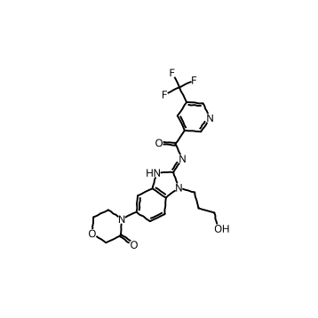 O=C(/N=c1\[nH]c2cc(N3CCOCC3=O)ccc2n1CCCO)c1cncc(C(F)(F)F)c1